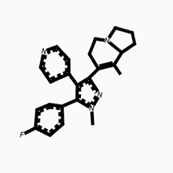 CC1=C(c2nn(C)c(-c3ccc(F)cc3)c2-c2ccncc2)CCN2CCCC12